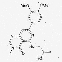 COc1ccc(-c2cc3ncn(C)c(=O)c3c(NC[C@@H](C)O)n2)cc1OC